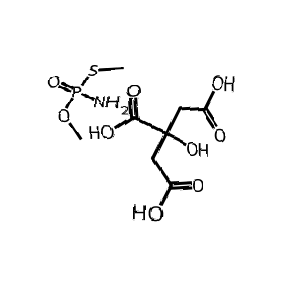 COP(N)(=O)SC.O=C(O)CC(O)(CC(=O)O)C(=O)O